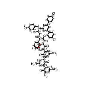 COc1ccc(CN(c2nc(-c3ccc(Cl)cc3)cc(-c3ccc(Cl)cc3)n2)C(O)CNC(C(=O)NC(NC(=N)N)C(=O)NC(NC(=N)N)C(=O)NC(NC(=N)N)C(=O)NC(NC(=N)N)C(N)=O)c2ccccc2)cc1